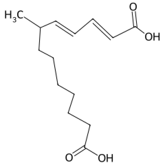 CC(C=CC=CC(=O)O)CCCCCCC(=O)O